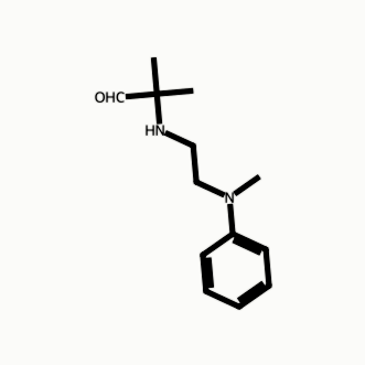 CN(CCNC(C)(C)C=O)c1ccccc1